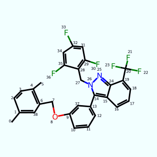 Cc1ccc(C)c(COc2cccc(-c3c4cccc(C(F)(F)F)c4nn3Cc3c(F)cc(F)cc3F)c2)c1